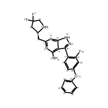 Nc1nc(C[C@H]2CC(F)(F)CN2)nc2[nH]nc(-c3ccc(Oc4ccccc4)cc3F)c12